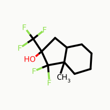 CC12CCCCC1CC(O)(C(F)(F)F)C2(F)F